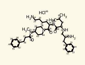 CC(C)CC(NCC(N)Cc1ccccc1)C(=O)NC(CCCCN)C(=O)N1CCC(N(C)C(=O)CCc2ccccc2)CC1.Cl